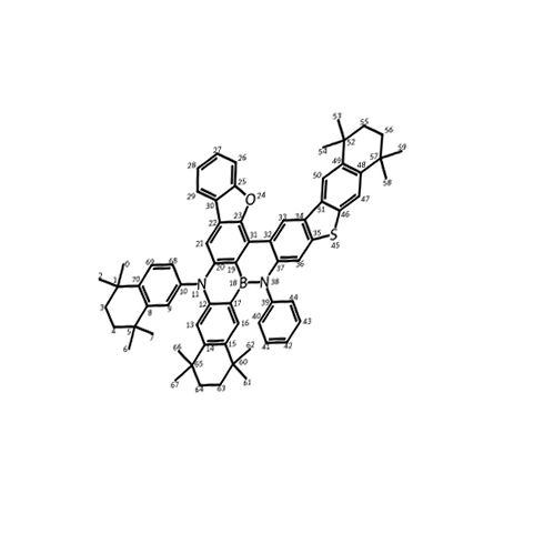 CC1(C)CCC(C)(C)c2cc(N3c4cc5c(cc4B4c6c3cc3c(oc7ccccc73)c6-c3cc6c(cc3N4c3ccccc3)sc3cc4c(cc36)C(C)(C)CCC4(C)C)C(C)(C)CCC5(C)C)ccc21